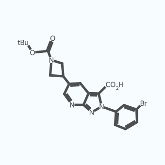 CC(C)(C)OC(=O)N1CC(c2cnc3nn(-c4cccc(Br)c4)c(C(=O)O)c3c2)C1